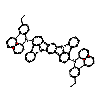 CCc1ccc(N(c2ccccc2)c2ccc3c4cc5c(cc4n4c6ccccc6c2c34)c2ccc(N(c3ccccc3)c3ccc(CC)cc3-c3ccccc3)c3c4ccccc4n5c23)c(-c2ccccc2)c1